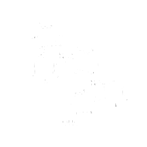 O=Cc1ccc2c(c1)c1ccccc1n2-c1cccc(-n2c3ccccc3c3ccccc32)c1